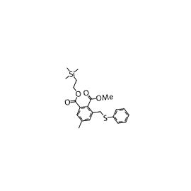 COC(=O)c1c(CSc2ccccc2)cc(C)cc1C(=O)OCC[Si](C)(C)C